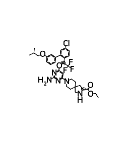 CCOC(=O)[C@@H]1CC2(CCN(c3cc(O[C@H](c4ccc(Cl)cc4-c4cccc(OCC(C)C)c4)C(F)(F)F)nc(N)n3)CC2)CN1